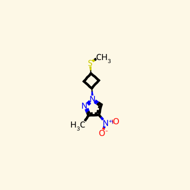 CS[C@H]1C[C@@H](n2cc([N+](=O)[O-])c(C)n2)C1